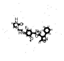 COc1cc(NCCN2CCNC2=O)c(F)cc1-c1nnc(-c2c(-c3ccccc3)noc2C)o1